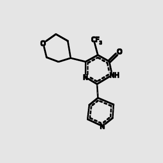 O=c1[nH]c(-c2ccncc2)nc(C2CCOCC2)c1C(F)(F)F